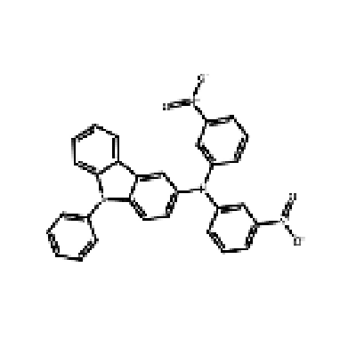 O=[N+]([O-])c1cccc(N(c2cccc([N+](=O)[O-])c2)c2ccc3c(c2)c2ccccc2n3-c2ccccc2)c1